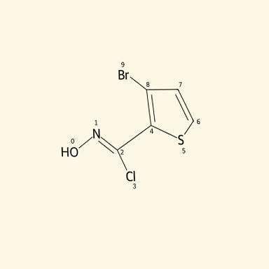 ON=C(Cl)c1sccc1Br